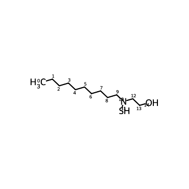 CCCCCCCCCCN(S)CCO